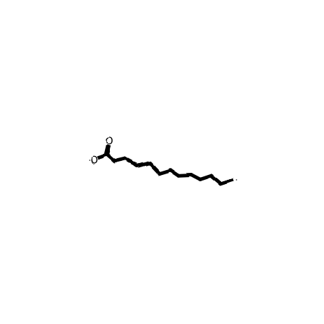 [CH2]CCCCCCCCCCCC([O])=O